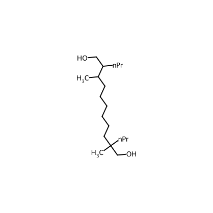 CCCC(CO)C(C)CCCCCCC(C)(CO)CCC